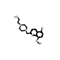 CC(C)Oc1ccc(Cl)c2ccc(CN3CCN(CCO)CC3)nc12